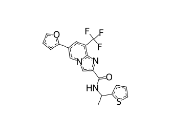 CC(NC(=O)c1cn2cc(-c3ccco3)cc(C(F)(F)F)c2n1)c1cccs1